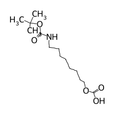 CC(C)(C)OC(=O)NCCCCCCCCOC(=O)O